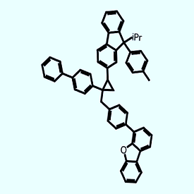 Cc1ccc(C2(C(C)C)c3ccccc3-c3ccc(C4CC4(Cc4ccc(-c5cccc6c5oc5ccccc56)cc4)c4ccc(-c5ccccc5)cc4)cc32)cc1